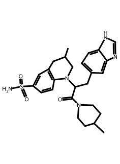 CC1CCN(C(=O)C(Cc2ccc3[nH]cnc3c2)N2CC(C)Cc3cc(S(N)(=O)=O)ccc32)CC1